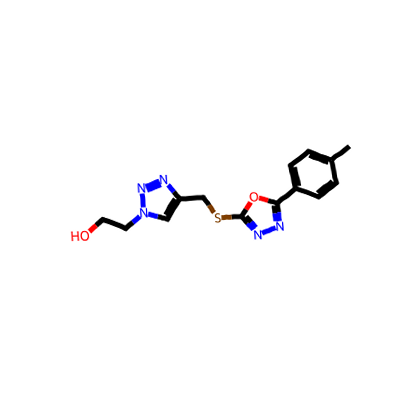 Cc1ccc(-c2nnc(SCc3cn(CCO)nn3)o2)cc1